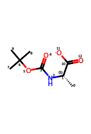 C[C@H](NC(=O)OC(C)(C)C)C([O])=O